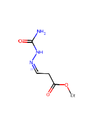 CCOC(=O)C/C=N\NC(N)=O